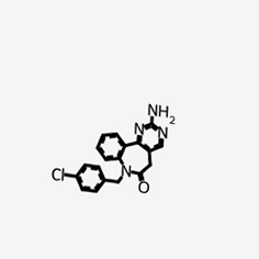 Nc1ncc2c(n1)-c1ccccc1N(Cc1ccc(Cl)cc1)C(=O)C2